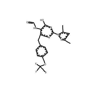 Cc1cc(C)n(-c2nc(O)c(NC=O)c(Cc3ccc(OC(F)(F)F)cc3)n2)n1